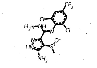 C[S+]([O-])c1c(C(=Nc2c(Cl)cc(C(F)(F)F)cc2Cl)NN)n[nH]c1N